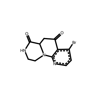 O=C1CC2C(=O)NCCN2c2nccc(Br)c21